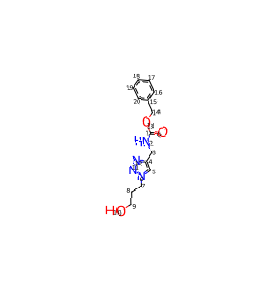 O=C(NCc1cn(CCCO)nn1)OCc1ccccc1